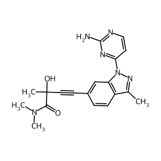 Cc1nn(-c2ccnc(N)n2)c2cc(C#CC(C)(O)C(=O)N(C)C)ccc12